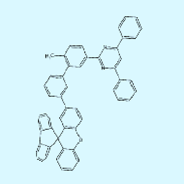 Cc1ccc(-c2nc(-c3ccccc3)cc(-c3ccccc3)n2)cc1-c1cccc(-c2ccc3c(c2)C2(c4ccccc4O3)c3ccccc3-c3ccccc32)c1